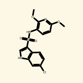 COc1ccc(NS(=O)(=O)c2c[nH]c3cc(Cl)ccc23)c(OC)n1